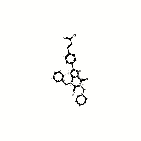 O=C(O)C=Cc1ccc(-c2nc3c(=O)n(Cc4ccccc4)c(=O)n(Cc4ccccc4)c3[nH]2)cc1